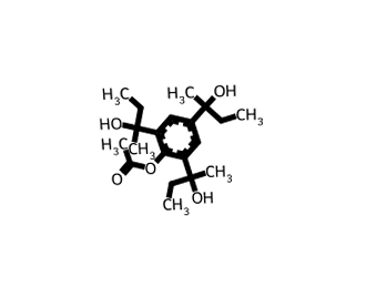 CCC(C)(O)c1cc(C(C)(O)CC)c(OC(C)=O)c(C(C)(O)CC)c1